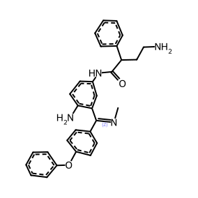 C/N=C(/c1ccc(Oc2ccccc2)cc1)c1cc(NC(=O)C(CCN)c2ccccc2)ccc1N